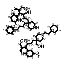 COc1ccc2ncc(CO)c([C@H](O)CCC3(CO)CCN(CCC4CCCCC4)CC3)c2c1.COc1ccc2ncc(CO)c([C@H](O)CCC3([C@@H](O)CCCc4ccccc4)CCNCC3)c2c1